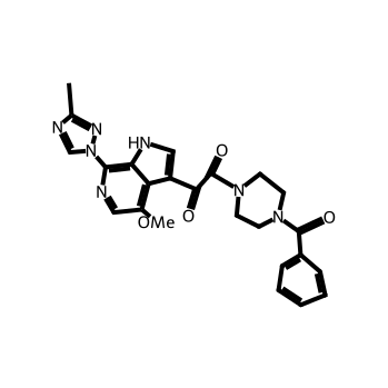 COc1cnc(-n2cnc(C)n2)c2[nH]cc(C(=O)C(=O)N3CCN(C(=O)c4ccccc4)CC3)c12